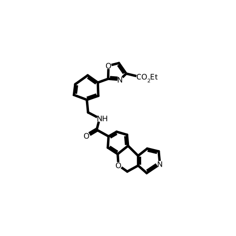 CCOC(=O)c1coc(-c2cccc(CNC(=O)c3ccc4c(c3)OCc3cnccc3-4)c2)n1